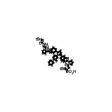 CC(C)(C)OC(=O)NCC(=O)N1CCCC1c1nc2cc([C@@H]3CC[C@@H](c4ccc5[nH]c([C@@H]6CCCN6C(=O)CN(C(=O)O)C(C)(C)C)nc5c4)N3c3ccc(N4CCCCC4)c(F)c3)ccc2[nH]1